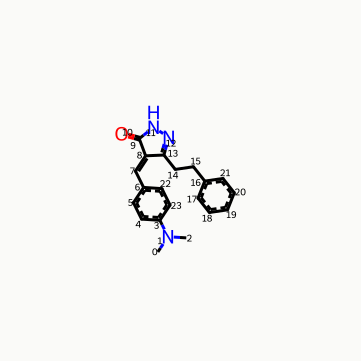 CN(C)c1ccc(C=C2C(=O)NN=C2CCc2ccccc2)cc1